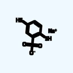 O=S(=O)([O-])c1cc(S)ccc1S.[Na+]